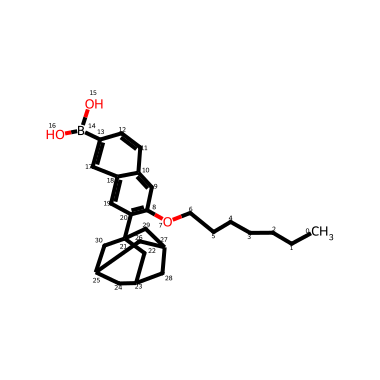 CCCCCCCOc1cc2ccc(B(O)O)cc2cc1C12CC3CC(CC(C3)C1)C2